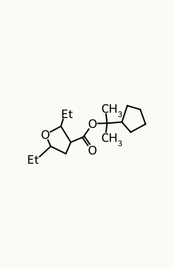 CCC1CC(C(=O)OC(C)(C)C2CCCC2)C(CC)O1